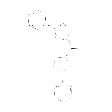 CC/C(C1=NC(c2ccccc2)CO1)=C1/NC(c2ccccc2)CO1